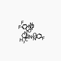 C[C@@H]1CCCN(C(=O)c2cc(F)c(F)cc2-n2nccn2)[C@@H]1CNc1nc2cc(F)ccc2o1